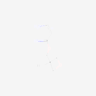 CC1(COC(=N)/C=C\N)COC1